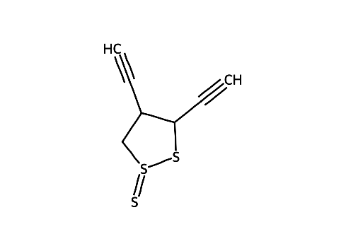 C#CC1CS(=S)SC1C#C